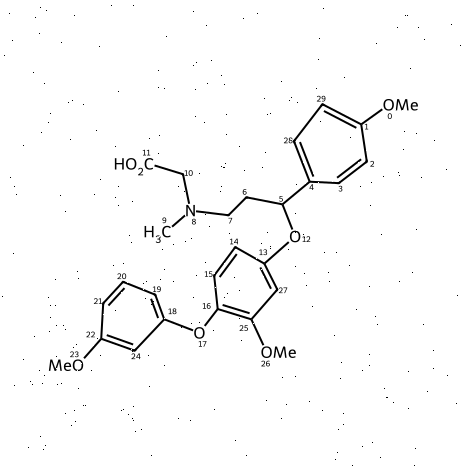 COc1ccc(C(CCN(C)CC(=O)O)Oc2ccc(Oc3cccc(OC)c3)c(OC)c2)cc1